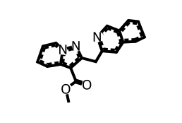 COC(=O)c1c(Cc2cc3ccccc3cn2)nn2ccccc12